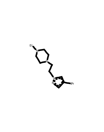 CCN1CCN(CCn2cc(C(C)C)cn2)CC1